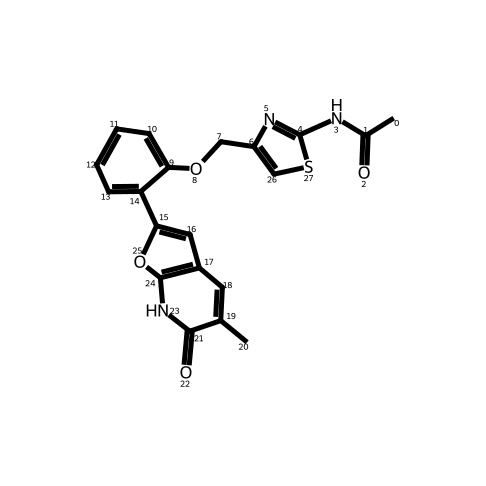 CC(=O)Nc1nc(COc2ccccc2-c2cc3cc(C)c(=O)[nH]c3o2)cs1